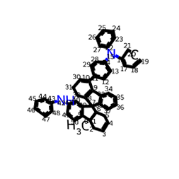 CC12CC=CCC1C1(C3=C(C(c4ccc(N(C5=CC=CCC5)c5ccccc5)cc4)=CCC3)c3ccccc31)c1cc(Nc3ccccc3)ccc12